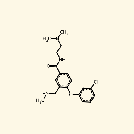 CNCc1cc(C(=O)NCCN(C)C)ccc1Oc1cccc(Cl)c1